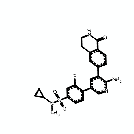 CN(C1CC1)S(=O)(=O)c1ccc(-c2cnc(N)c(-c3ccc4c(c3)CCNC4=O)c2)c(F)c1